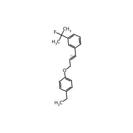 CCc1ccc(OC/C=C/c2cccc(C(C)(C)F)c2)cc1